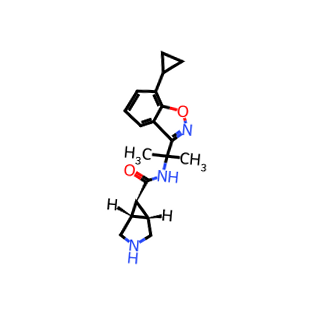 CC(C)(NC(=O)[C@H]1[C@@H]2CNC[C@@H]21)c1noc2c(C3CC3)cccc12